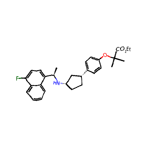 CCOC(=O)C(C)(C)Oc1ccc([C@@H]2CC[C@H](N[C@H](C)c3ccc(F)c4ccccc34)C2)cc1